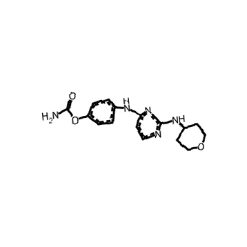 NC(=O)Oc1ccc(Nc2ccnc(NC3CCOCC3)n2)cc1